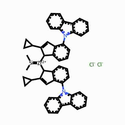 C[Si](C)=[Zr+2]([CH]1C(C2CC2)=Cc2c1cccc2-n1c2ccccc2c2ccccc21)[CH]1C(C2CC2)=Cc2c1cccc2-n1c2ccccc2c2ccccc21.[Cl-].[Cl-]